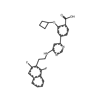 O=C(O)c1ccc(-c2cc(NCCc3c(F)cc4ccccc4c3F)ncn2)cc1OC1CCC1